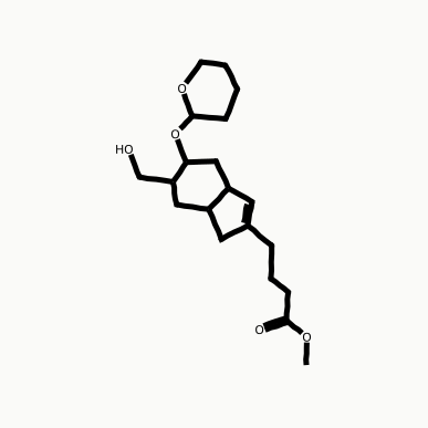 COC(=O)CCCC1=CC2CC(OC3CCCCO3)C(CO)CC2C1